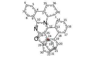 c1ccc(-c2ccccc2-c2nc(-c3ccccc3-c3ccccc3)c3c(n2)oc2ccccc23)cc1